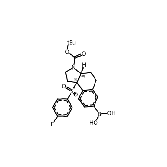 CC(C)(C)OC(=O)N1CC[C@@]2(S(=O)(=O)c3ccc(F)cc3)c3ccc(B(O)O)cc3CC[C@@H]12